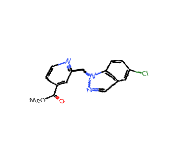 COC(=O)c1ccnc(Cn2ncc3cc(Cl)ccc32)c1